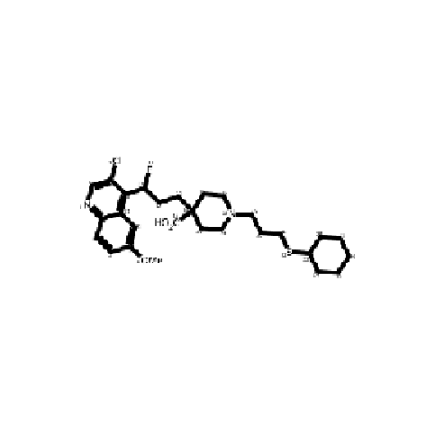 COc1ccc2ncc(Cl)c(C(F)CCC3(C(=O)O)CCN(CCCSC4CCCCC4)CC3)c2c1